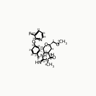 COC[C@H]1C[C@H]2C(=O)N(C)C(=N)N[C@@]2(c2cc(Oc3ncccc3F)ccc2F)CO1